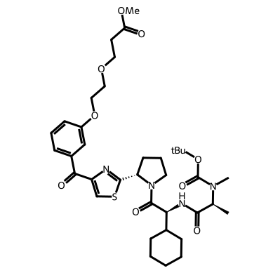 COC(=O)CCOCCOc1cccc(C(=O)c2csc([C@@H]3CCCN3C(=O)[C@@H](NC(=O)[C@H](C)N(C)C(=O)OC(C)(C)C)C3CCCCC3)n2)c1